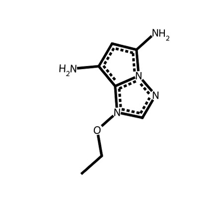 CCOn1cnn2c(N)cc(N)c12